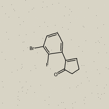 O=C1CCC=C1c1cccc(Br)c1F